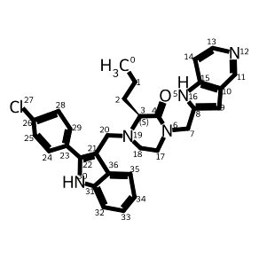 CCC[C@H]1C(=O)N(Cc2cc3cnccc3[nH]2)CCN1Cc1c(-c2ccc(Cl)cc2)[nH]c2ccccc12